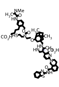 CNC(C)C(=O)Nc1ccc(COC(=O)N(CCS)CCOC23CC4(CN/C(C)=C(\C=N)c5ccc(N6CCc7cccc(C(=O)Nc8nc9ccccc9s8)c7C6)nc5C(=O)O)CC5(C)CC(C)(C2)C5(C4)C3)c(CCCCC(=O)O)c1